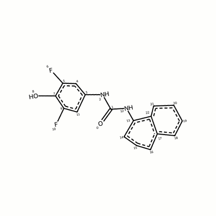 O=C(Nc1cc(F)c(O)c(F)c1)Nc1cccc2ccccc12